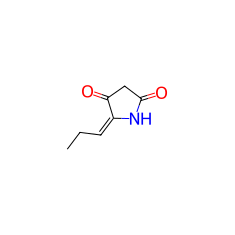 CCC=C1NC(=O)CC1=O